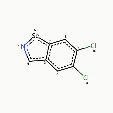 Clc1cc2cn[se]c2cc1Cl